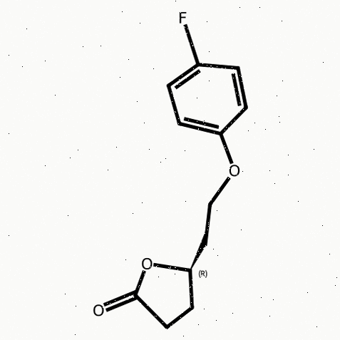 O=C1CC[C@H](CCOc2ccc(F)cc2)O1